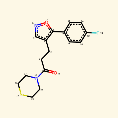 O=C(CCc1cnoc1-c1ccc(F)cc1)N1CCSCC1